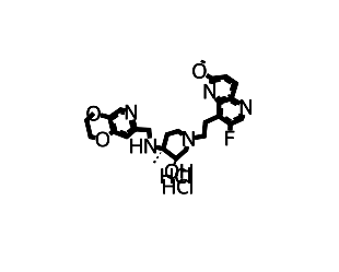 COc1ccc2ncc(F)c(CCN3CC[C@](C)(NCc4cc5c(cn4)OCCO5)[C@@H](O)C3)c2n1.Cl.Cl